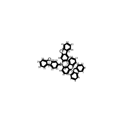 c1ccc(S2(c3ccccc3)c3ccccc3-c3c(N(c4ccc5c(c4)oc4ccccc45)c4ccc5c(c4)oc4ccccc45)cccc32)cc1